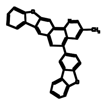 Cc1cnc2c(c1)c(-c1ccc3oc4ccccc4c3c1)cc1cc3c(cc12)oc1ccccc13